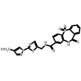 CCOC(=O)c1cnn(-c2ncc(CNC(=O)c3ccc4c(c3)NC(=O)c3ccccc3S4(=O)=O)s2)c1